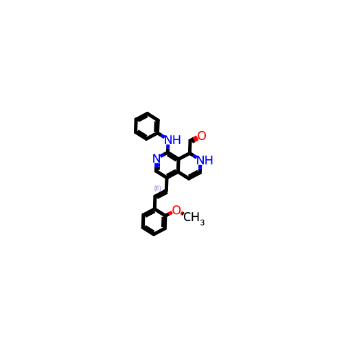 COc1ccccc1/C=C/c1cnc(Nc2ccccc2)c2c1C=CNC2C=O